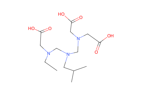 CCN(CC(=O)O)CN(CC(C)C)CN(CC(=O)O)CC(=O)O